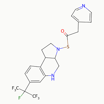 O=C(Cc1ccncc1)SN1CCC2c3ccc(C(F)(C(F)(F)F)C(F)(F)F)cc3NCC21